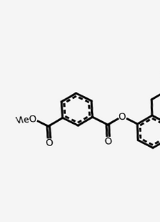 C=CCc1ccccc1OC(=O)c1cccc(C(=O)OC)c1